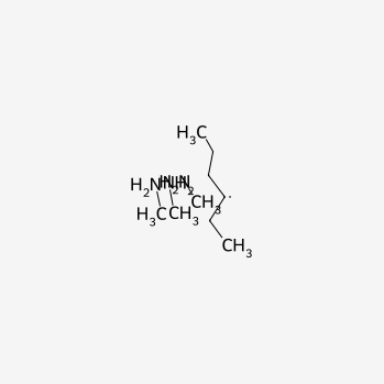 CC[CH]CCC.CN.CN.CN